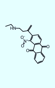 C=C(CCNCC)c1ccc2c(c1[N+](=O)[O-])C(=O)c1ccccc1C2=O